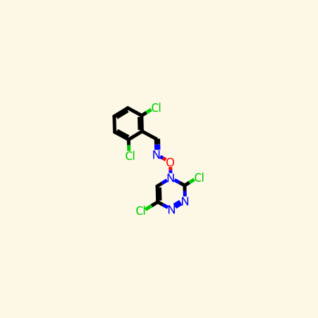 ClC1=CN(ON=Cc2c(Cl)cccc2Cl)C(Cl)N=N1